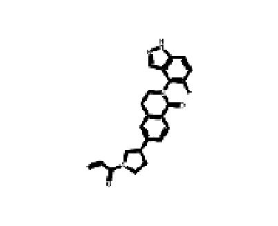 C=CC(=O)N1CCC(c2ccc3c(c2)CCN(c2c(C)ccc4[nH]ncc24)C3=O)C1